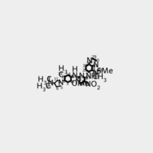 COc1cc(N2CCC(N(C)C)C2)c(C)cc1Nc1ncc([N+](=O)[O-])c(Nc2ccc3nccnc3c2N(C)SC)n1